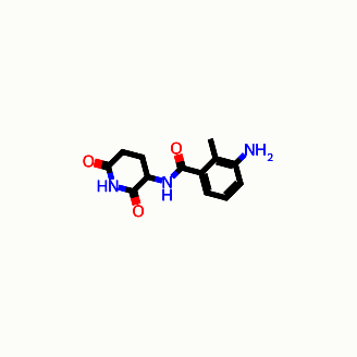 Cc1c(N)cccc1C(=O)NC1CCC(=O)NC1=O